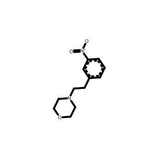 O=[N+]([O-])c1cccc(CCN2CCOCC2)c1